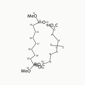 CC(C)(CCCC(=O)O)CCCC(=O)O.COC(=O)CCCCCCCC(=O)OC